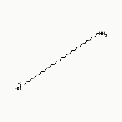 NCCCCCCCCCCCCCCCCCCCCCCCCCCCCCCC(=O)O